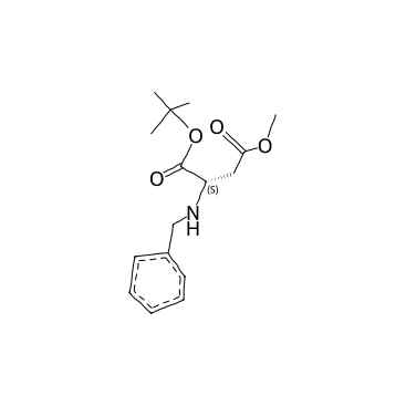 COC(=O)C[C@H](NCc1ccccc1)C(=O)OC(C)(C)C